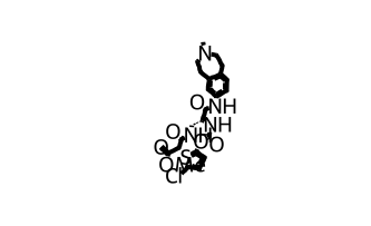 COC(=O)CC(=O)NC[C@@H](NC(=O)Oc1ccc(Cl)s1)C(=O)Nc1ccc2c(c1)CCN(C)CC2